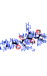 N=C(N)NC(N)C(=O)NC(NC(=N)N)C(=O)NC(NC(=N)N)C(=O)NC(NC(=N)N)C(N)=O